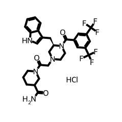 Cl.NC(=O)C1CCCN(C(=O)CN2CCN(C(=O)c3cc(C(F)(F)F)cc(C(F)(F)F)c3)[C@H](Cc3c[nH]c4ccccc34)C2)C1